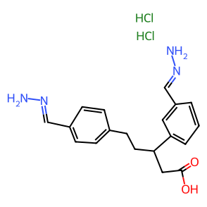 Cl.Cl.NN=Cc1ccc(CCC(CC(=O)O)c2cccc(C=NN)c2)cc1